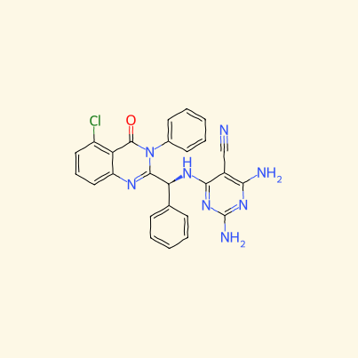 N#Cc1c(N)nc(N)nc1N[C@@H](c1ccccc1)c1nc2cccc(Cl)c2c(=O)n1-c1ccccc1